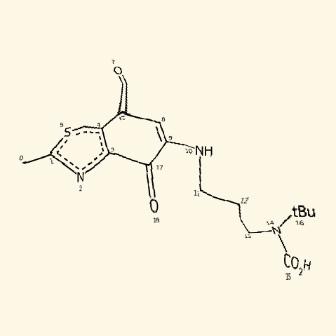 Cc1nc2c(s1)C(=O)C=C(NCCCN(C(=O)O)C(C)(C)C)C2=O